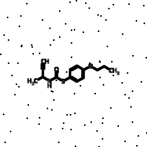 C#CC(C)NC(=O)Sc1ccc(OCCC)cc1